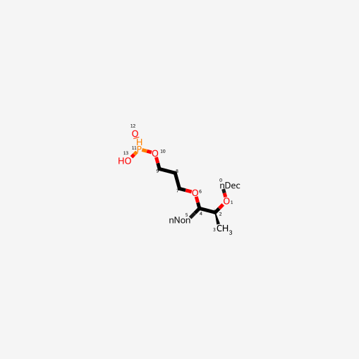 CCCCCCCCCCO[C@@H](C)C(CCCCCCCCC)OCCCO[PH](=O)O